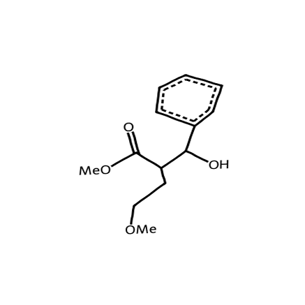 COCCC(C(=O)OC)C(O)c1ccccc1